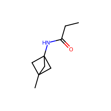 CCC(=O)NC12CC(C)(C1)C2